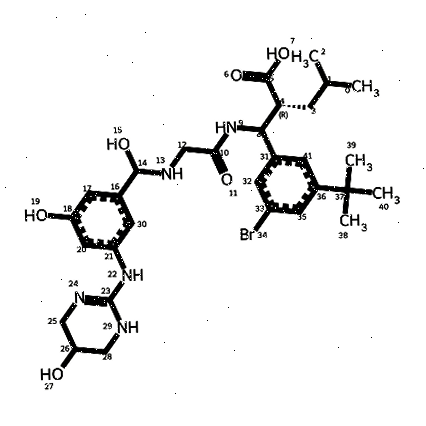 CC(C)C[C@@H](C(=O)O)C(NC(=O)CNC(O)c1cc(O)cc(NC2=NCC(O)CN2)c1)c1cc(Br)cc(C(C)(C)C)c1